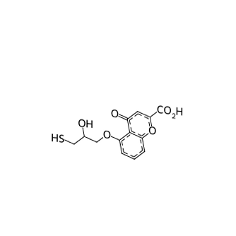 O=C(O)c1cc(=O)c2c(OCC(O)CS)cccc2o1